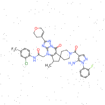 CC1CC2(CCN(C(=O)c3cnn(-c4ccccc4F)c3N)CC2)c2c1n(CC(=O)Nc1ccc(C(F)(F)F)cc1Cl)c1nc(C3=CCOCC3)nn1c2=O